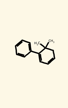 CC1(C)CC=CC=C1c1ccccc1